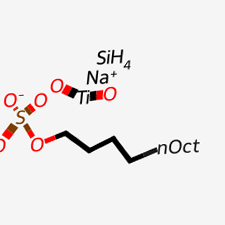 CCCCCCCCCCCCOS(=O)(=O)[O-].[Na+].[O]=[Ti]=[O].[SiH4]